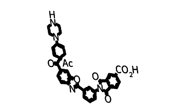 CC(=O)C1(C(=O)c2ccc3nc(-c4cccc(N5C(=O)c6ccc(C(=O)O)cc6C5=O)c4)oc3c2)C=CC(N2CCNCC2)=CC1